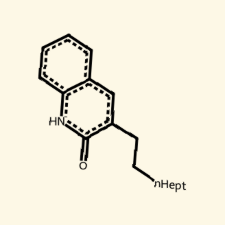 CCCCCCCCCc1cc2ccccc2[nH]c1=O